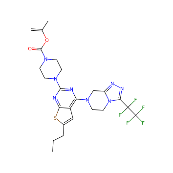 C=C(C)OC(=O)N1CCN(c2nc(N3CCn4c(nnc4C(F)(F)C(F)(F)F)C3)c3cc(CCC)sc3n2)CC1